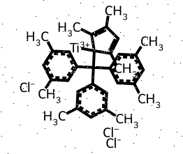 CC1=CC(C)=C(C)[C]1([Ti+3])C(c1cc(C)cc(C)c1)(c1cc(C)cc(C)c1)c1cc(C)cc(C)c1.[Cl-].[Cl-].[Cl-]